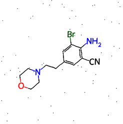 N#Cc1cc(CCN2CCOCC2)cc(Br)c1N